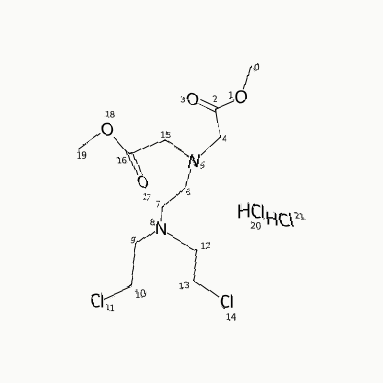 COC(=O)CN(CCN(CCCl)CCCl)CC(=O)OC.Cl.Cl